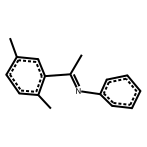 C/C(=N\c1ccccc1)c1cc(C)ccc1C